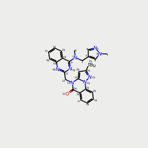 CN(Cc1cnn(C)c1)c1nc(Cn2c(=O)c3ccccc3n3nc(C(C)(C)C)cc23)nc2ccccc12